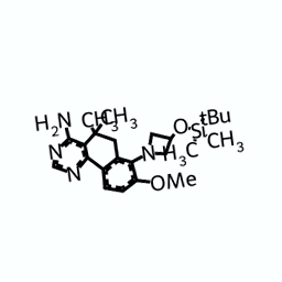 COc1ccc2c(c1N1CC(O[Si](C)(C)C(C)(C)C)C1)CC(C)(C)c1c(N)ncnc1-2